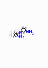 CC(C)(C)SNC1CCCC(N)C1